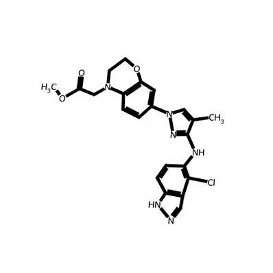 COC(=O)CN1CCOc2cc(-n3cc(C)c(Nc4ccc5[nH]ncc5c4Cl)n3)ccc21